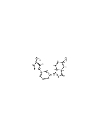 Cc1ccn(-c2cccc(-c3cnc4cc(Cl)ccn34)c2)n1